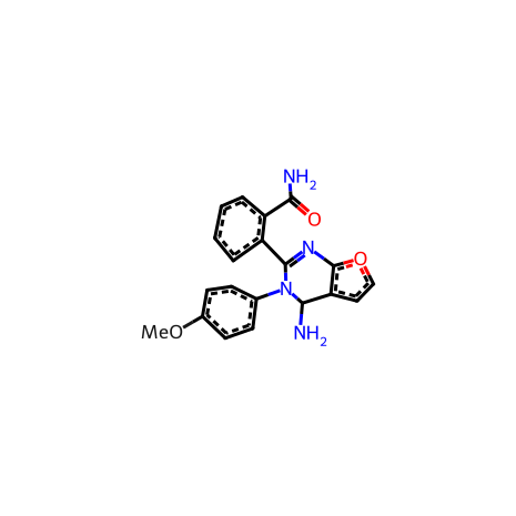 COc1ccc(N2C(c3ccccc3C(N)=O)=Nc3occc3C2N)cc1